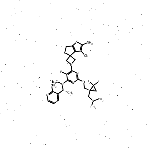 C[C@H](c1cccnc1N)N(C)c1nc(OC[C@]2(CN(C)C)CC2(F)F)nc(N2CC3(C2)SCc2sc(N)c(C#N)c23)c1F